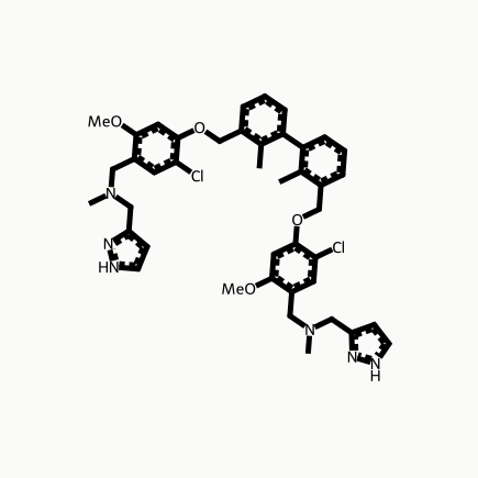 COc1cc(OCc2cccc(-c3cccc(COc4cc(OC)c(CN(C)Cc5cc[nH]n5)cc4Cl)c3C)c2C)c(Cl)cc1CN(C)Cc1cc[nH]n1